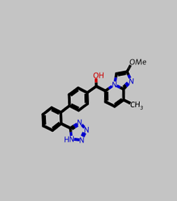 COc1cn2c(C(O)c3ccc(-c4ccccc4-c4nnn[nH]4)cc3)ccc(C)c2n1